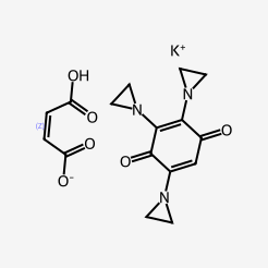 O=C([O-])/C=C\C(=O)O.O=C1C=C(N2CC2)C(=O)C(N2CC2)=C1N1CC1.[K+]